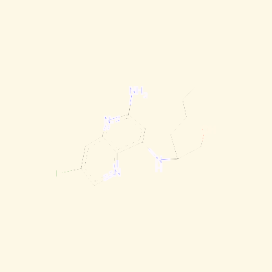 CCCC[C@@](C)(CO)Nc1cc(N)nc2cc(F)cnc12